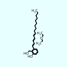 CCCCCCCCCC=CC=CC=Cc1cccc(O)c1CO.CCOCC